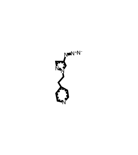 [N-]=[N+]=Nc1cnn(CCc2ccncc2)c1